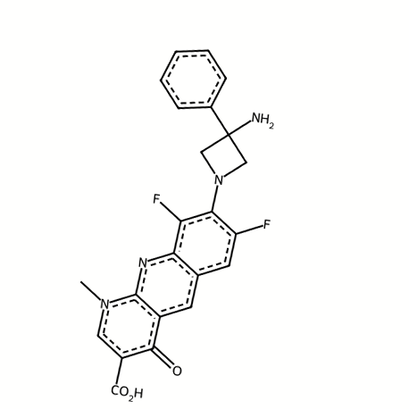 Cn1cc(C(=O)O)c(=O)c2cc3cc(F)c(N4CC(N)(c5ccccc5)C4)c(F)c3nc21